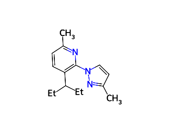 CCC(CC)c1ccc(C)nc1-n1ccc(C)n1